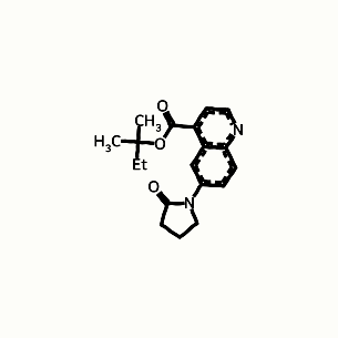 CCC(C)(C)OC(=O)c1ccnc2ccc(N3CCCC3=O)cc12